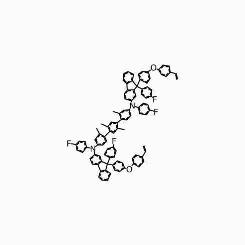 C=Cc1ccc(Oc2ccc(C3(c4ccc(F)cc4)c4ccccc4-c4ccc(N(c5ccc(F)cc5)c5ccc(-c6cc(C)c(-c7ccc(N(c8ccc(F)cc8)c8ccc9c(c8)C(c8ccc(F)cc8)(c8ccc(Oc%10ccc(C=C)cc%10)cc8)c8ccccc8-9)cc7C)cc6C)c(C)c5)cc43)cc2)cc1